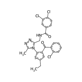 CCc1cc(C(=O)c2ccccc2Cl)c(-n2c(C)nnc2CNC(=O)c2ccc(Cl)c(Cl)c2)s1